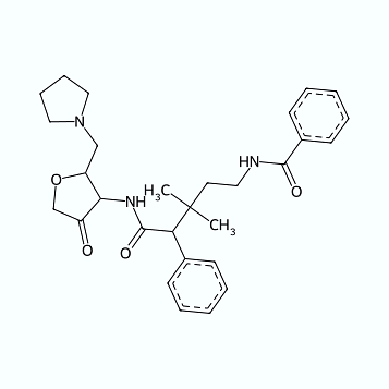 CC(C)(CCNC(=O)c1ccccc1)C(C(=O)NC1C(=O)COC1CN1CCCC1)c1ccccc1